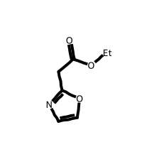 CCOC(=O)Cc1ncco1